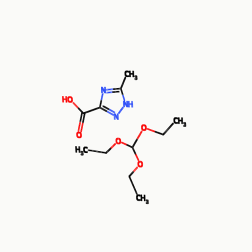 CCOC(OCC)OCC.Cc1nc(C(=O)O)n[nH]1